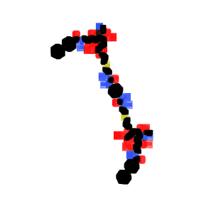 CC(=O)N[C@H]1[C@H]([C@H](O)[C@H](O)CNC(=O)c2ccc(-c3ccccc3)cc2)O[C@@](OCCCSCCNC(=O)Nc2ccc(NC(=O)NCCSCCCO[C@]3(C(=O)O)C[C@H](O)[C@@H](NC(C)=O)[C@H]([C@H](O)[C@H](O)CNC(=O)c4ccc(-c5ccccc5)cc4)O3)cc2)(C(=O)O)C[C@@H]1O